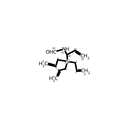 C=CC[Si](CC=C)(CC=C)C(C=C)NC=O